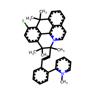 C[n+]1ccccc1-c1ccccc1/C=C/C1(C)[n+]2ccc3cccc4c3c2-c2c(ccc(F)c2C4(C)C)C1(C)C